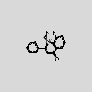 NCn1c(-c2ccccc2)cc(=O)c2cccc(F)c21